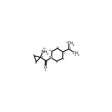 CC(C)C1CCN(C(=O)C2(N)CC2)CC1